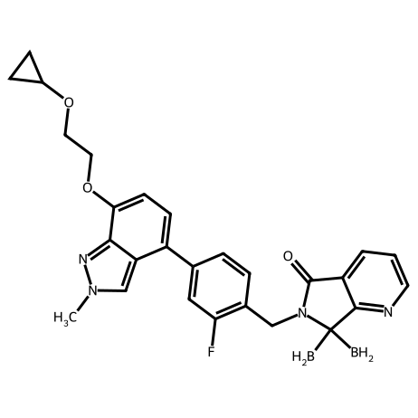 BC1(B)c2ncccc2C(=O)N1Cc1ccc(-c2ccc(OCCOC3CC3)c3nn(C)cc23)cc1F